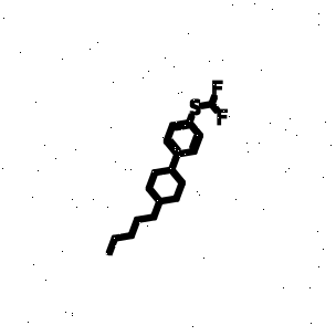 CCCCCC1CCC(c2ccc(SC(F)F)cc2)CC1